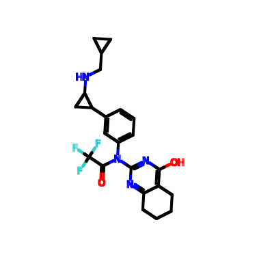 O=C(N(c1cccc(C2CC2NCC2CC2)c1)c1nc(O)c2c(n1)CCCC2)C(F)(F)F